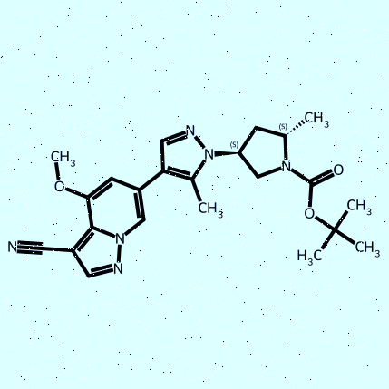 COc1cc(-c2cnn([C@H]3C[C@H](C)N(C(=O)OC(C)(C)C)C3)c2C)cn2ncc(C#N)c12